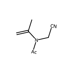 C=C(C)N(CC#N)C(C)=O